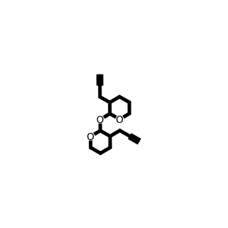 C#CCC1CCCOC1OC1OCCCC1CC#C